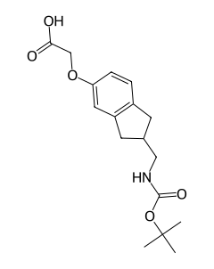 CC(C)(C)OC(=O)NCC1Cc2ccc(OCC(=O)O)cc2C1